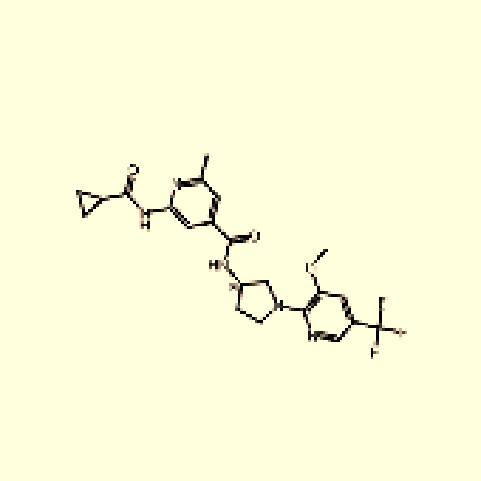 COc1cc(C(F)(F)F)cnc1N1CC[C@@H](NC(=O)c2cc(C)nc(NC(=O)C3CC3)c2)C1